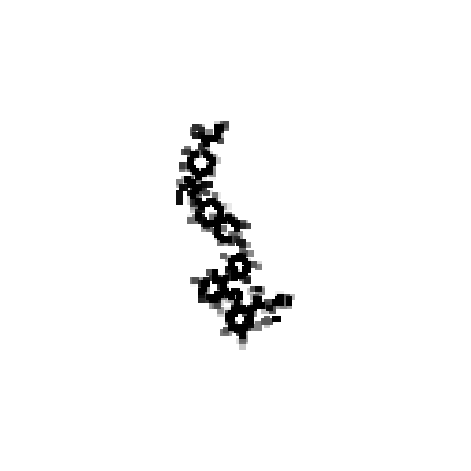 C=CC(=O)N1CCC(S(=O)(=O)NC2CCC3(CC2)CCN(C[C@@H]2CCN(c4ncncc4Oc4ccc(F)cc4C(=O)N(C(C)C)C(C)C)C2)CC3)CC1